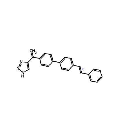 C=C(c1ccc(-c2ccc(/C=C/c3ccccc3)cc2)cc1)c1c[nH]nn1